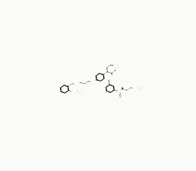 COCCC(=O)N(c1cccc(COC2CNCCC2c2ccc(OCCCOCc3ccccc3OC)cc2)c1)C(C)C